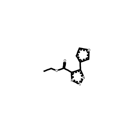 CCOC(=O)c1nsnc1-c1ccoc1